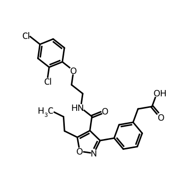 CCCc1onc(-c2cccc(CC(=O)O)c2)c1C(=O)NCCOc1ccc(Cl)cc1Cl